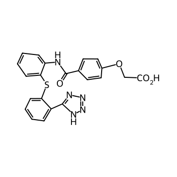 O=C(O)COc1ccc(C(=O)Nc2ccccc2Sc2ccccc2-c2nnn[nH]2)cc1